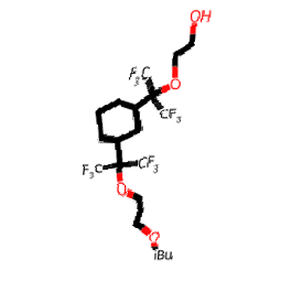 CCC(C)OCCOC(C1CCCC(C(OCCO)(C(F)(F)F)C(F)(F)F)C1)(C(F)(F)F)C(F)(F)F